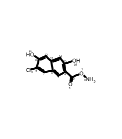 NOC(=O)c1cc2cc(Cl)c(O)cc2cc1O